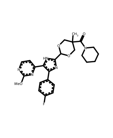 COc1nccc(-c2[nH]c(C3OCC(C)(C(=O)N4CCCCC4)CO3)nc2-c2ccc(F)cc2)n1